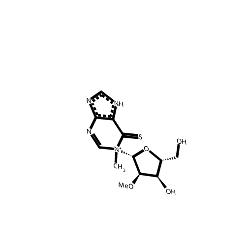 CO[C@@H]1[C@H](O)[C@@H](CO)O[C@H]1[N+]1(C)C=Nc2nc[nH]c2C1=S